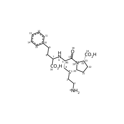 NCCSC[C@H](NC(CCc1ccccc1)C(=O)O)C(=O)N1CCC[C@H]1C(=O)O